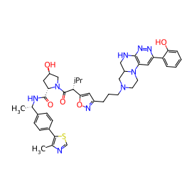 Cc1ncsc1-c1ccc([C@H](C)NC(=O)[C@@H]2C[C@@H](O)CN2C(=O)[C@@H](c2cc(CCCN3CCN4c5cc(-c6ccccc6O)nnc5NCC4C3)no2)C(C)C)cc1